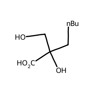 CCCCCC(O)(CO)C(=O)O